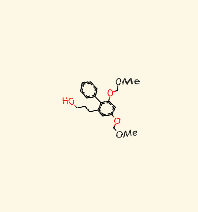 COCOc1cc(CCCO)c(-c2ccccc2)c(OCOC)c1